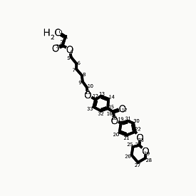 C=CC(=O)OCCCCCCOc1ccc(C(=O)Oc2ccc(OC3CCCCO3)cc2)cc1